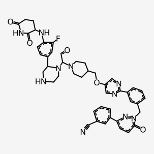 N#Cc1cccc(-c2ccc(=O)n(Cc3cccc(-c4ncc(OCC5CCN(C(C=O)N6CCNCC6c6ccc(NC7CCC(=O)NC7=O)c(F)c6)CC5)cn4)c3)n2)c1